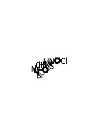 Cn1ncc(Br)c1-c1cccc(NC(=S)Nc2ccc(Cl)cc2)c1